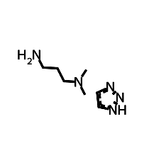 CN(C)CCCN.c1c[nH]nn1